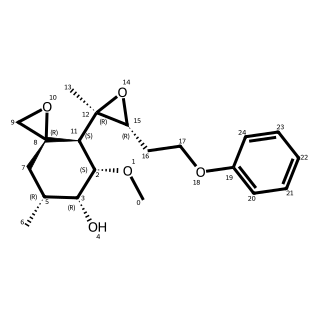 CO[C@@H]1[C@H](O)[C@H](C)C[C@]2(CO2)[C@H]1[C@@]1(C)O[C@@H]1CCOc1ccccc1